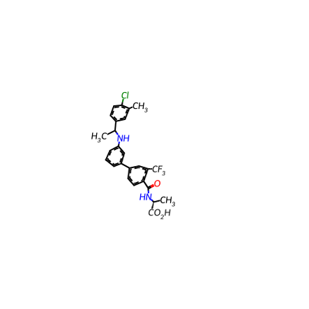 Cc1cc(C(C)Nc2cccc(-c3ccc(C(=O)N[C@@H](C)C(=O)O)c(C(F)(F)F)c3)c2)ccc1Cl